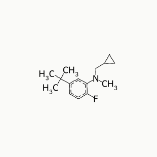 CN(CC1CC1)c1cc(C(C)(C)C)ccc1F